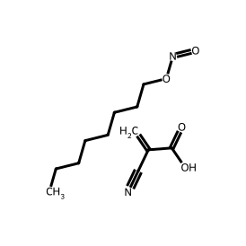 C=C(C#N)C(=O)O.CCCCCCCCON=O